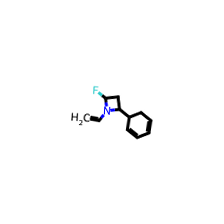 C=CN1C(F)CC1C1C=CC=CC1